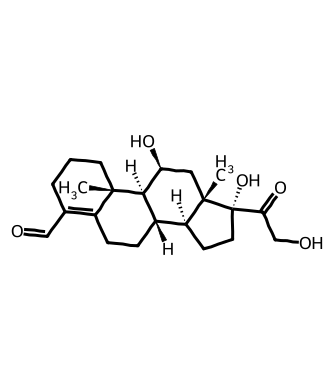 C[C@]12CCCC(C=O)=C1CC[C@@H]1[C@@H]2[C@@H](O)C[C@@]2(C)[C@H]1CC[C@]2(O)C(=O)CO